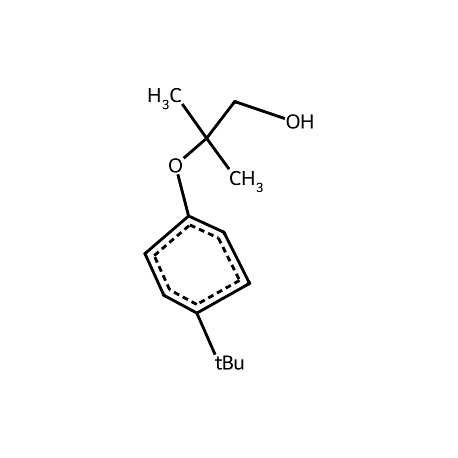 CC(C)(CO)Oc1ccc(C(C)(C)C)cc1